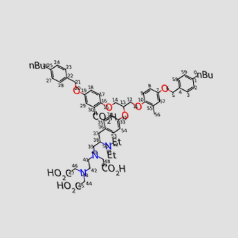 CCCCc1ccc(COc2ccc(OCC(COc3ccc(OCc4ccc(CCCC)cc4)cc3C(=O)O)Oc3ccc(CC(CN(CCN(CC(=O)O)CC(=O)O)CC(=O)O)N(CC)CC)cc3)c(C)c2)cc1